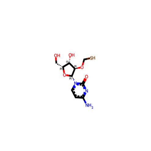 Nc1ccn([C@@H]2O[C@H](CO)[C@H](O)[C@H]2OCS)c(=O)n1